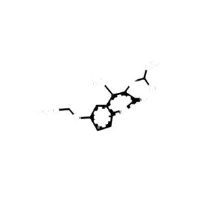 CCCCC(CC)Oc1c(O)c2cc(OCC(=O)O)ccc2oc1=O